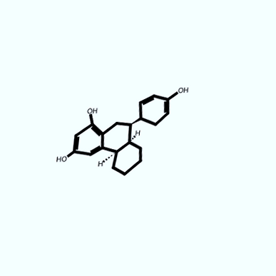 OC1=CCC([C@@H]2Cc3c(O)cc(O)cc3[C@@H]3CCCC[C@@H]32)C=C1